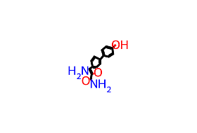 NC(=O)c1oc2cc(-c3ccc(O)cc3)ccc2c1N